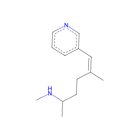 CNC(C)CCC(C)=Cc1cccnc1